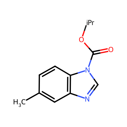 Cc1ccc2c(c1)ncn2C(=O)OC(C)C